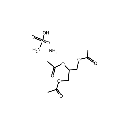 CC(=O)OCC(COC(C)=O)OC(C)=O.N.NS(=O)(=O)O